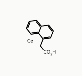 O=C(O)Cc1cccc2ccccc12.[Ce]